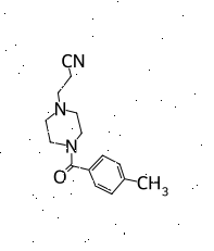 Cc1ccc(C(=O)N2CCN(CCC#N)CC2)cc1